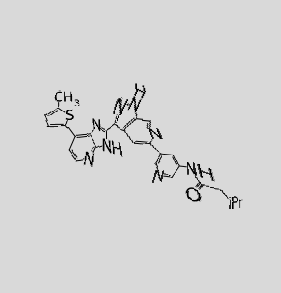 Cc1ccc(-c2ccnc3[nH]c(-c4n[nH]c5cnc(-c6cncc(NC(=O)CC(C)C)c6)cc45)nc23)s1